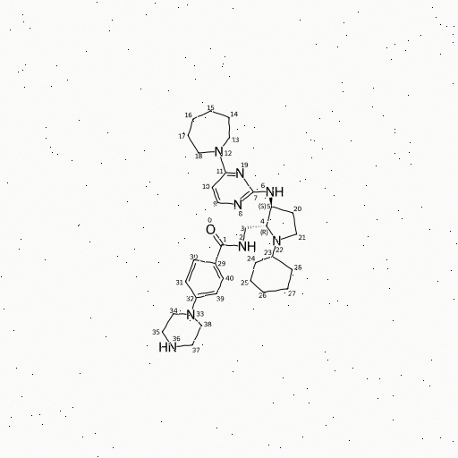 O=C(NC[C@@H]1[C@@H](Nc2nccc(N3CCCCCC3)n2)CCN1C1CCCCC1)c1ccc(N2CCNCC2)cc1